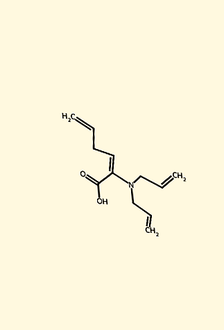 C=CC/C=C(\C(=O)O)N(CC=C)CC=C